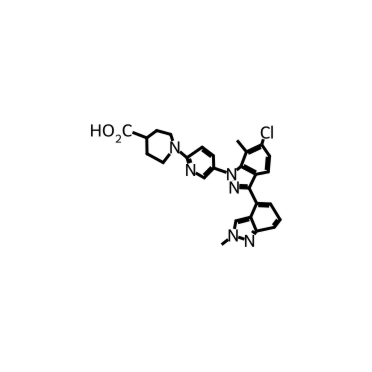 Cc1c(Cl)ccc2c(-c3cccc4nn(C)cc34)nn(-c3ccc(N4CCC(C(=O)O)CC4)nc3)c12